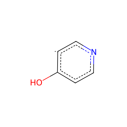 Oc1[c]cncc1